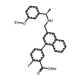 CCOc1cccc([C@@H](C)NCc2cc(-c3ccc(F)c(C(=O)OC)c3)c3ccccc3c2)c1